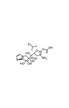 CCC(I)C[C@@](CCN)(ONONO)[PH](O)(O)C(O)(Cn1ccnc1)[PH](O)(O)O